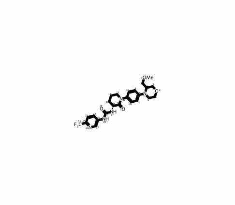 COCC1COCCN1c1ccc(N2CCC[C@@H](NC(=O)Nc3ccc(C(F)(F)F)nc3)C2=O)cc1